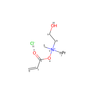 C=CC(=O)O[N+](C)(CCC)CCO.[Cl-]